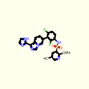 COc1ncc(C#N)cc1S(=O)(=O)Nc1ccc(F)c(-c2ccc3c(-c4ncc[nH]4)ncn3c2)c1F